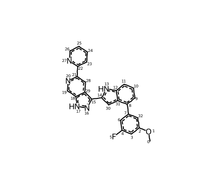 COc1cc(F)cc(-c2cccc3[nH]c(-c4n[nH]c5cnc(-c6ccccn6)cc45)cc23)c1